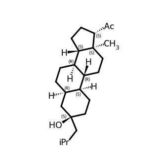 CC(=O)[C@H]1CC[C@H]2[C@@H]3CC[C@@H]4C[C@@](O)(CC(C)C)CC[C@@H]4[C@H]3CC[C@]12C